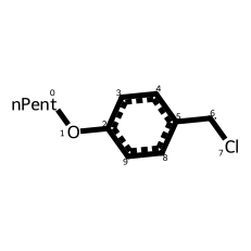 CCCCCOc1ccc([CH]Cl)cc1